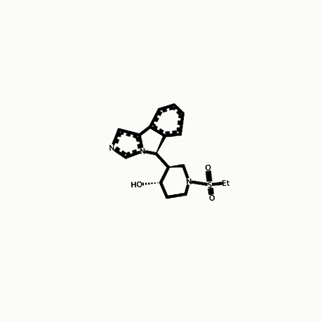 CCS(=O)(=O)N1CC[C@H](O)[C@@H]([C@@H]2c3ccccc3-c3cncn32)C1